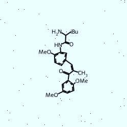 CCC(C)C(N)C(=O)Nc1cc(C=C(C)C(=O)c2cc(OC)ccc2OC)ccc1OC